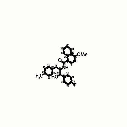 COc1ccc(C(=O)NC(Cc2ccc(C(F)(F)F)cc2)C(O)c2ccc(F)cc2)c2ccccc12